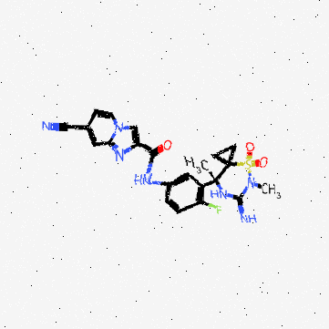 CN1C(=N)N[C@](C)(c2cc(NC(=O)c3cn4ccc(C#N)cc4n3)ccc2F)C2(CC2)S1(=O)=O